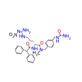 CN(Cc1ccc(CNC(N)=O)cc1)C(=O)[C@@H](CCCN/C(N)=N\[N+](=O)[O-])NC(=O)C(c1ccccc1)c1ccccc1